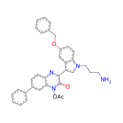 CC(=O)On1c(=O)c(-c2cn(CCCN)c3ccc(OCc4ccccc4)cc23)nc2ccc(-c3ccccc3)cc21